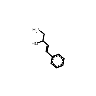 NCC(O)/C=C/c1ccccc1